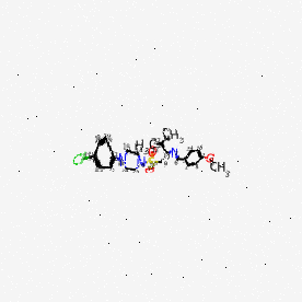 COc1ccc(C=N[C@H](CS(=O)(=O)N2CCN(c3ccc(Cl)cc3)CC2)C(C)C)cc1